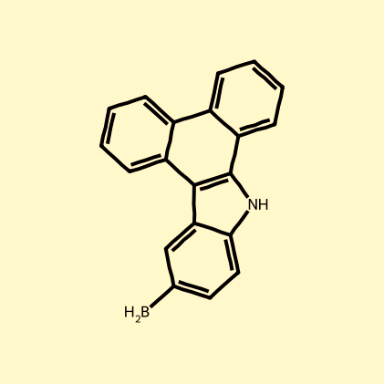 Bc1ccc2[nH]c3c4ccccc4c4ccccc4c3c2c1